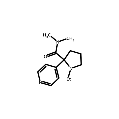 CCN1CCCC1(C(=O)N(C)C)c1ccncc1